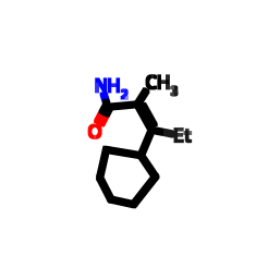 CCC(=C(C)C(N)=O)C1CCCCC1